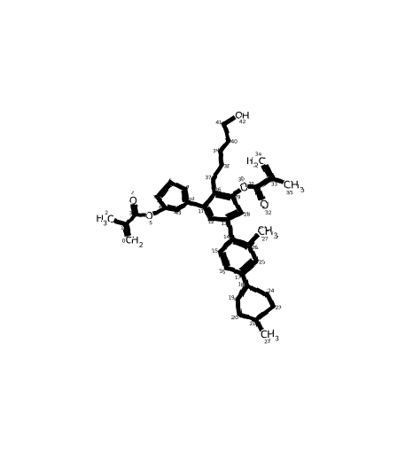 C=C(C)C(=O)Oc1cccc(-c2cc(-c3ccc(C4CCC(C)CC4)cc3C)cc(OC(=O)C(=C)C)c2CCCCCO)c1